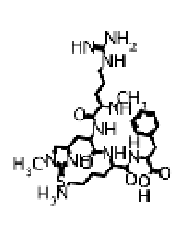 CNC(CCCNC(=N)N)C(=O)NC(Cc1cn(C)c(=S)[nH]1)C(=O)NC(CCCCN)C(=O)NC(Cc1ccccc1)C(=O)O